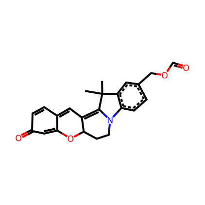 CC1(C)C2=C3C=C4C=CC(=O)C=C4OC3CCN2c2ccc(COC=O)cc21